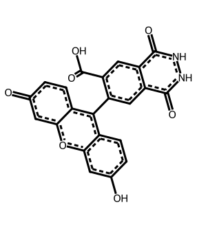 O=C(O)c1cc2c(=O)[nH][nH]c(=O)c2cc1-c1c2ccc(=O)cc-2oc2cc(O)ccc12